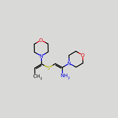 C/C=C(\S/C=C(\N)N1CCOCC1)N1CCOCC1